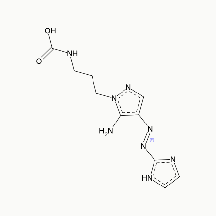 Nc1c(/N=N/c2ncc[nH]2)cnn1CCCNC(=O)O